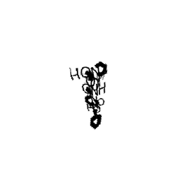 O=C(NOC[C@@H]1CCCCN1C(=O)O)[C@@H]1CC[C@@H]2CN1C(=O)N2OCc1ccccc1